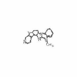 Cn1c2ccccc2n2c3ccc4sc5cnccc5c4c3nc12